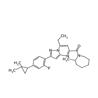 CCc1cc(C(=O)N2CCCCCC2C)nc2cc(-c3ccc(C4CC4(C)C)cc3F)nn12